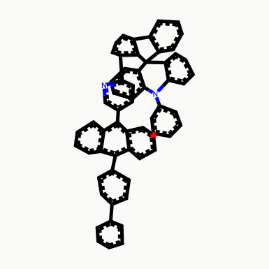 c1ccc(-c2ccc(-c3c4ccccc4c(-c4ccc(-c5cccc6c5C5(c7ccccc7-6)c6ccccc6N(c6ccccc6)c6ccccc65)nc4)c4ccccc34)cc2)cc1